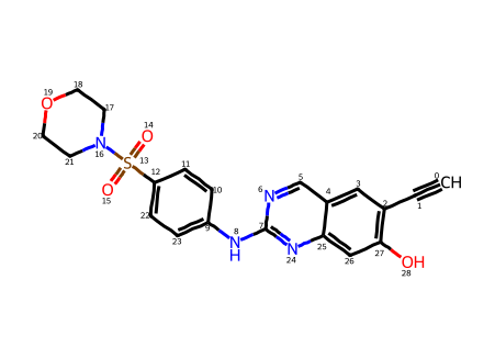 C#Cc1cc2cnc(Nc3ccc(S(=O)(=O)N4CCOCC4)cc3)nc2cc1O